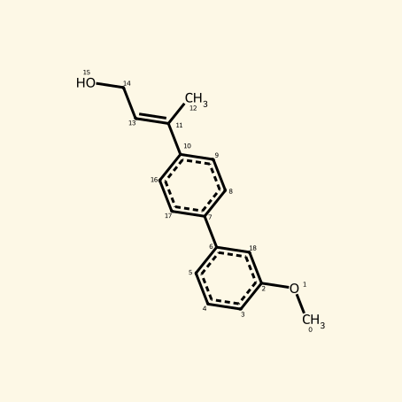 COc1cccc(-c2ccc(C(C)=CCO)cc2)c1